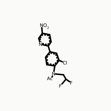 CC(=O)N(CC(F)F)c1ccc(-c2ccc([N+](=O)[O-])cn2)cc1Cl